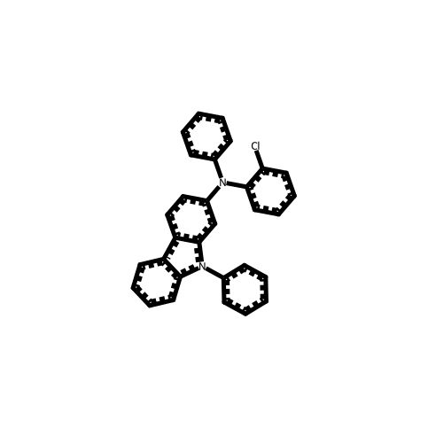 Clc1ccccc1N(c1ccccc1)c1ccc2c3ccccc3n(-c3ccccc3)c2c1